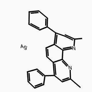 Cc1cc(-c2ccccc2)c2ccc3c(-c4ccccc4)cc(C)nc3c2n1.[Ag]